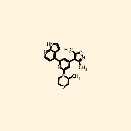 Cc1noc(C)c1-c1cc(-c2ccnc3[nH]ccc23)nc(N2CCOCC2C)c1